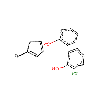 Cl.Oc1ccccc1.Oc1ccccc1.[Ti][C]1=CC=CC1